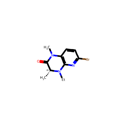 CCN1c2nc(Br)ccc2N(C)C(=O)[C@H]1C